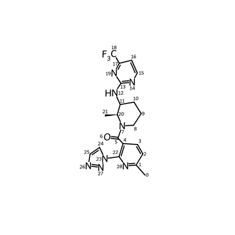 Cc1ccc(C(=O)N2CCCC(Nc3nccc(C(F)(F)F)n3)[C@@H]2C)c(-n2ccnn2)n1